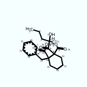 CCCC(C)(O)C(=O)C1(C(=O)O)CCCCC1(Cc1ccccc1)C(=O)O